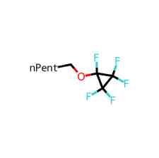 CCCCCCOC1(F)C(F)(F)C1(F)F